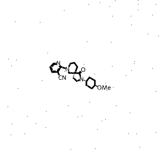 CO[C@H]1CC[C@H](N2CC[C@]3(CCCN(c4ncccc4C#N)C3)C2=O)CC1